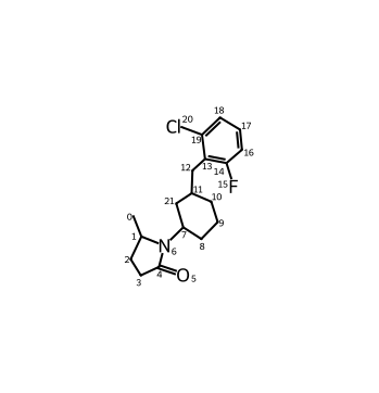 CC1CCC(=O)N1C1CCCC(Cc2c(F)cccc2Cl)C1